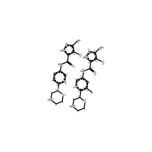 CC(C)c1n[nH]c(C(=O)Nc2ccc([C@@H]3CNCCO3)nc2)c1Cl.CCCc1n[nH]c(C(=O)Nc2cnc(C3CNCCO3)c(C)c2)c1Cl